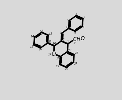 O=CC1C(=Cc2ccccc2)C(c2ccccc2)Oc2ccccc21